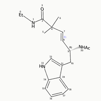 CCNC(=O)C(C)(C)/C=C/[C@@H](Cc1c[nH]c2ccccc12)NC(C)=O